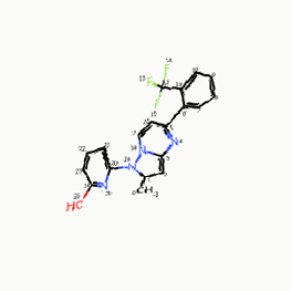 CC1C=C2N=C(c3ccccc3C(F)(F)F)C=CN2N1c1cccc(O)n1